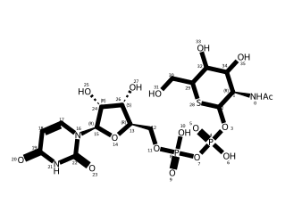 CC(=O)N[C@H]1C(OP(=O)(O)OP(=O)(O)OC[C@H]2O[C@@H](n3ccc(=O)[nH]c3=O)[C@H](O)[C@@H]2O)SC(CO)C(O)C1O